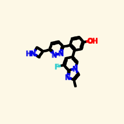 Cc1cn2cc(-c3cc(O)ccc3-c3ccc(C4CNC4)nn3)cc(F)c2n1